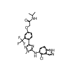 CC(C)NC(=O)COc1ccc(-c2nc(Nc3ccc4[nH]ncc4c3Cl)n(C)n2)c(C(F)(F)F)c1